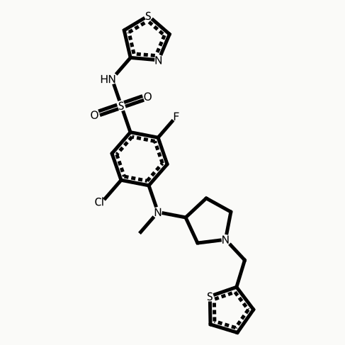 CN(c1cc(F)c(S(=O)(=O)Nc2cscn2)cc1Cl)C1CCN(Cc2cccs2)C1